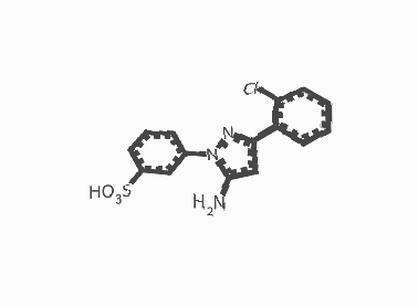 Nc1cc(-c2ccccc2Cl)nn1-c1cccc(S(=O)(=O)O)c1